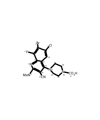 CNc1nc2c(F)c(Br)c(Cl)cc2c(N2CCN(C(=O)O)CC2)c1C#N